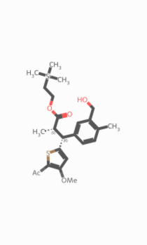 COc1cc([C@@H](c2ccc(C)c(CO)c2)[C@H](C)C(=O)OCC[Si](C)(C)C)sc1C(C)=O